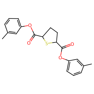 Cc1cccc(OC(=O)C2CCC(C(=O)Oc3cccc(C)c3)S2)c1